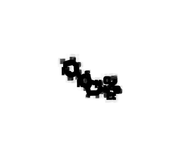 CCN(c1ccc2nc(-c3cccnc3)sc2n1)S(C)(=O)=O